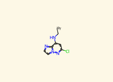 CC(C)CNc1cc(Cl)nn2ccnc12